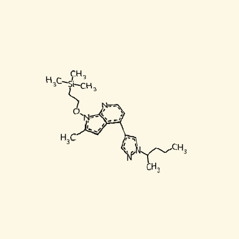 CCCC(C)n1cc(-c2ccnc3c2cc(C)n3OCC[Si](C)(C)C)cn1